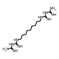 N=C(N)NC(=N)NCCCCCCCCCNC(=N)NC(=N)N